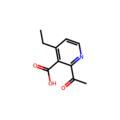 CCc1ccnc(C(C)=O)c1C(=O)O